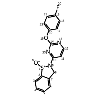 [O-][S+]1c2ccccc2CN1c1ccnc(Oc2ccc(F)cc2)n1